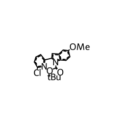 COc1ccc2c(c1)cc(-c1cccc(Cl)n1)n2C(=O)OC(C)(C)C